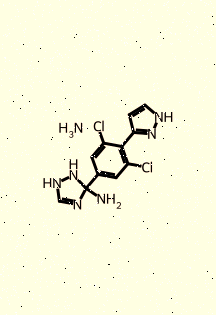 N.NC1(c2cc(Cl)c(-c3cc[nH]n3)c(Cl)c2)N=CNN1